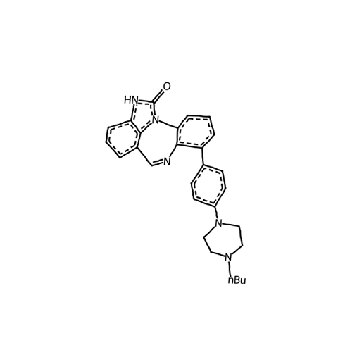 CCCCN1CCN(c2ccc(-c3cccc4c3N=Cc3cccc5[nH]c(=O)n-4c35)cc2)CC1